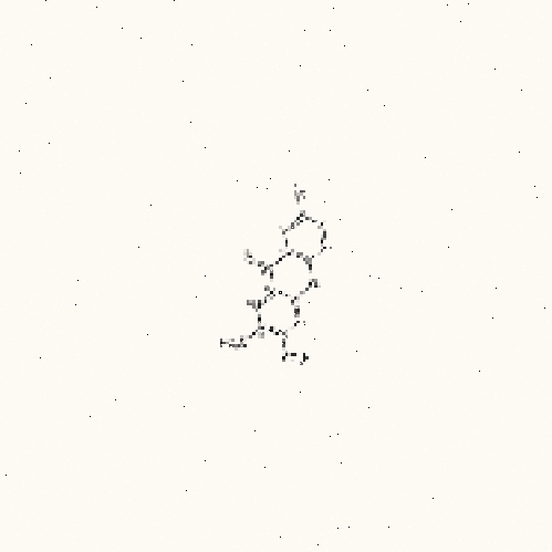 CCc1ccc2oc3cc(C(=O)O)c(C(=O)O)nc3c(=O)c2c1